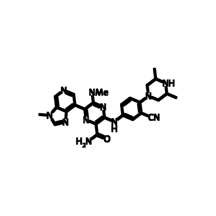 CNc1nc(Nc2ccc(N3CC(C)NC(C)C3)c(C#N)c2)c(C(N)=O)nc1-c1cncc2c1ncn2C